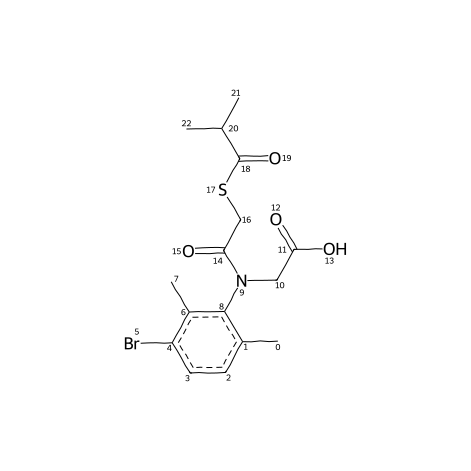 Cc1ccc(Br)c(C)c1N(CC(=O)O)C(=O)CSC(=O)C(C)C